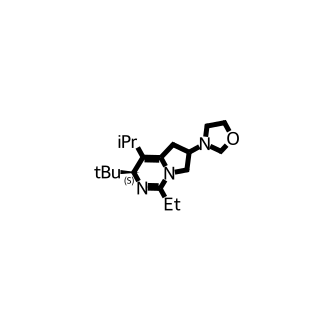 CCC1=N[C@@H](C(C)(C)C)C(C(C)C)=C2CC(N3CCOC3)CN12